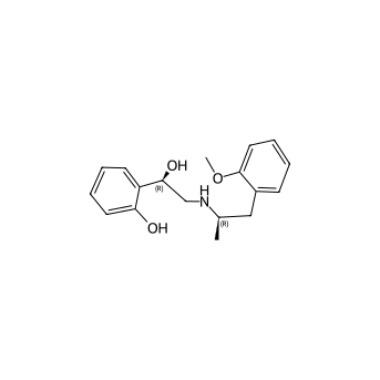 COc1ccccc1C[C@@H](C)NC[C@H](O)c1ccccc1O